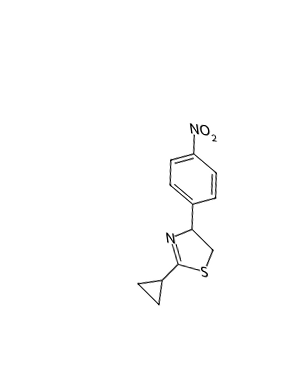 O=[N+]([O-])c1ccc(C2CSC(C3CC3)=N2)cc1